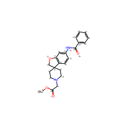 CC(C)(C)OC(=O)CN1CCC2(CC1)COc1cc(NC(=O)c3ccccc3)ccc12